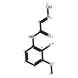 COc1cccc(NC(=O)C=NO)c1F